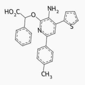 Cc1ccc(-c2cc(-c3cccs3)c(N)c(OC(C(=O)O)c3ccccc3)n2)cc1